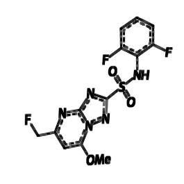 COc1cc(CF)nc2nc(S(=O)(=O)Nc3c(F)cccc3F)nn12